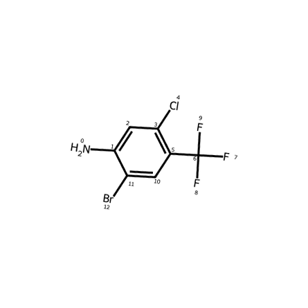 Nc1cc(Cl)c(C(F)(F)F)cc1Br